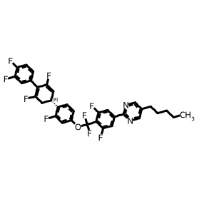 CCCCCc1cnc(-c2cc(F)c(C(F)(F)Oc3ccc([C@H]4C=C(F)C(c5ccc(F)c(F)c5)=C(F)C4)c(F)c3)c(F)c2)nc1